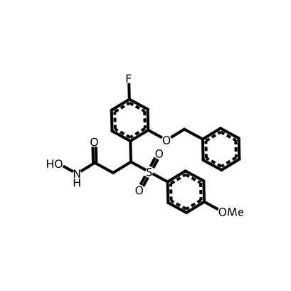 COc1ccc(S(=O)(=O)C(CC(=O)NO)c2ccc(F)cc2OCc2ccccc2)cc1